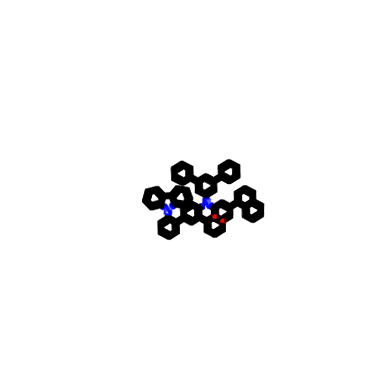 c1ccc(-c2cc(-c3ccccc3)cc(N(c3cccc(-c4cccc5ccccc45)c3)c3ccc(-c4ccccc4-n4c5ccccc5c5ccccc54)cc3-c3ccccc3)c2)cc1